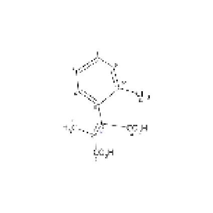 C/C(C(=O)O)=C(/C(=O)O)c1ccccc1C